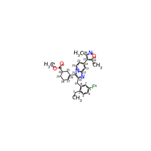 CCc1ccc(F)cc1Cc1nc2cc(-c3c(C)noc3C)ccn2c1C1=CCCC(C(=O)OC)C1